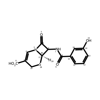 O=C(O)C1=CN2C(=O)C(NC(=O)c3cccc(O)c3)[C@H]2SC1